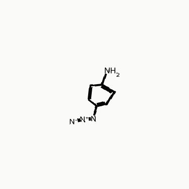 [N-]=[N+]=Nc1ccc(N)cc1